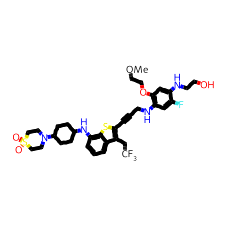 COCCOc1cc(NCCO)c(F)cc1NCC#Cc1sc2c(NC3CCC(N4CCS(=O)(=O)CC4)CC3)cccc2c1CC(F)(F)F